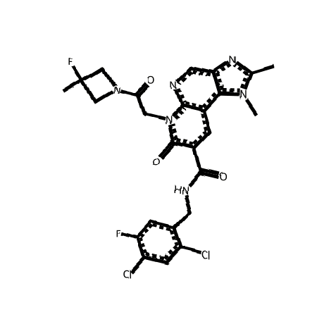 Cc1nc2cnc3c(cc(C(=O)NCc4cc(F)c(Cl)cc4Cl)c(=O)n3CC(=O)N3CC(C)(F)C3)c2n1C